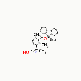 C/C(=C/CO)c1ccc(C)c(CO[Si](c2ccccc2)(c2ccccc2)C(C)(C)C)c1C